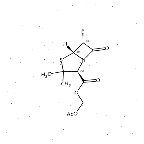 CC(=O)OCOC(=O)[C@@H]1N2C(=O)[C@@H](F)[C@H]2SC1(C)C